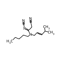 CCCCCN(CC=CC(C)C)C(CC#N)=NC#N